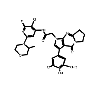 CC1COCCN1c1cc(NC(=O)Cn2cc(-c3cc(Cl)c(O)c(C=O)c3)c3c(=O)n4c(nc32)CCC4)c(Cl)c(F)n1